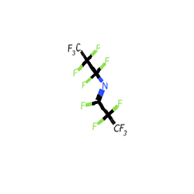 FC(=NC(F)(F)C(F)(F)C(F)(F)F)C(F)(F)C(F)(F)F